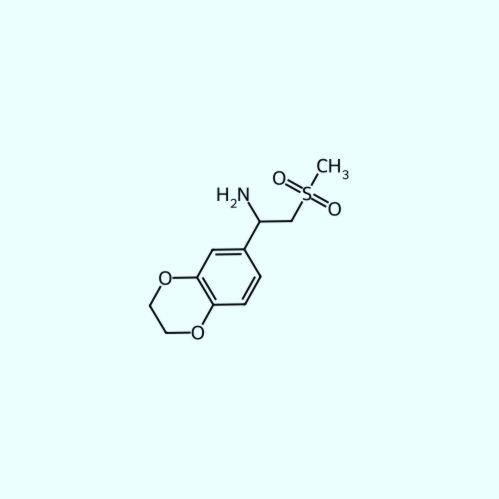 CS(=O)(=O)CC(N)c1ccc2c(c1)OCCO2